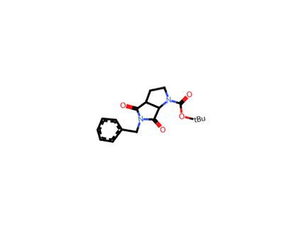 CC(C)(C)OC(=O)N1CCC2C(=O)N(Cc3ccccc3)C(=O)C21